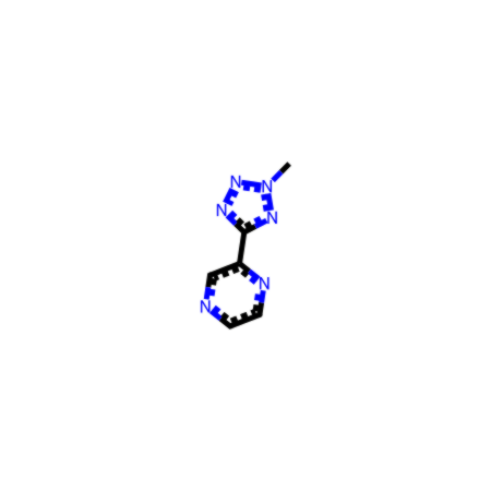 Cn1nnc(-c2cnccn2)n1